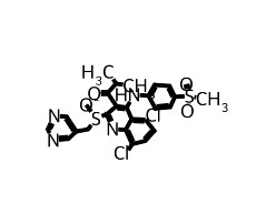 CC(C)C(=O)c1c([S+]([O-])Cc2cncnc2)nc2c(Cl)ccc(Cl)c2c1Nc1ccc(S(C)(=O)=O)cc1